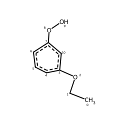 CCOc1cccc(OO)c1